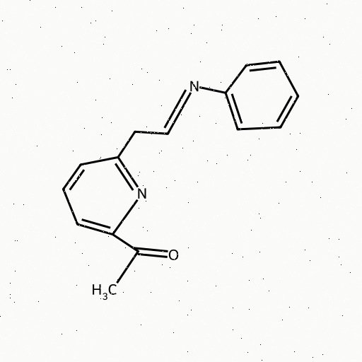 CC(=O)c1cccc(CC=Nc2ccccc2)n1